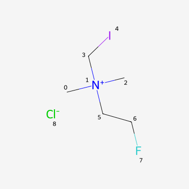 C[N+](C)(CI)CCF.[Cl-]